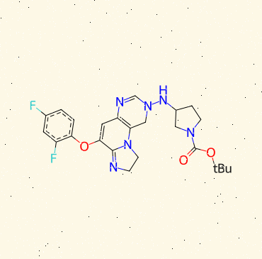 CC(C)(C)OC(=O)N1CCC(NN2C=NC3=C(C2)N2CCN=C2C(Oc2ccc(F)cc2F)=C3)C1